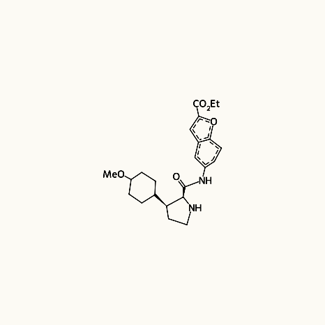 CCOC(=O)c1cc2cc(NC(=O)[C@H]3NCC[C@H]3C3CCC(OC)CC3)ccc2o1